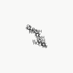 CC(C)(O)[C@@H](NC(=O)Nc1cc2[nH]nc(NC(=O)OC3CCOCC3)c2cn1)c1ccc(F)cc1